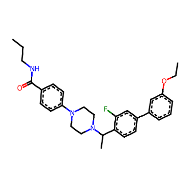 CCCNC(=O)c1ccc(N2CCN(C(C)c3ccc(-c4cccc(OCC)c4)cc3F)CC2)cc1